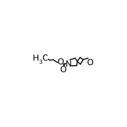 CCCCOC(=O)N1CCC2(CC1)CC(C=O)C2